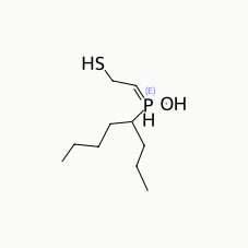 CCCCC(CCC)/[PH](O)=C\CS